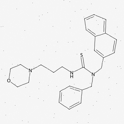 S=C(NCCCN1CCOCC1)N(Cc1ccccc1)Cc1ccc2ccccc2c1